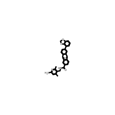 Cc1cc(N)nc(C)c1CNC(=O)c1ccc2c(c1)C1OC2c2cc(-c3cccc4c3OCO4)ccc21